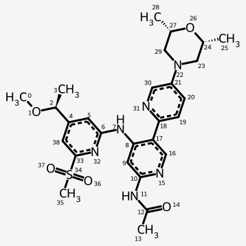 CO[C@@H](C)c1cc(Nc2cc(NC(C)=O)ncc2-c2ccc(N3C[C@@H](C)O[C@@H](C)C3)cn2)nc(S(C)(=O)=O)c1